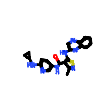 Cc1nsc(Nc2cnc3ccccc3n2)c1C(=O)Nc1ccc(NC2CC2)nc1